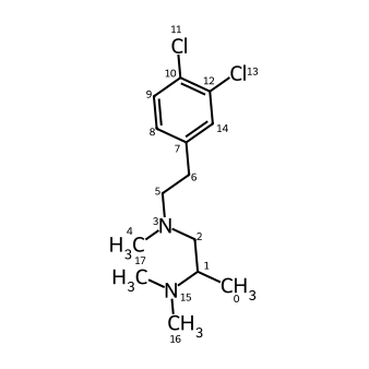 CC(CN(C)CCc1ccc(Cl)c(Cl)c1)N(C)C